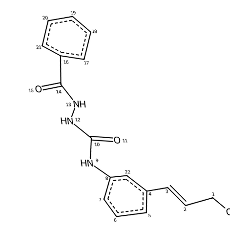 [O]C/C=C/c1cccc(NC(=O)NNC(=O)c2ccccc2)c1